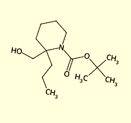 CCCC1(CO)CCCCN1C(=O)OC(C)(C)C